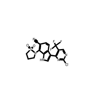 N#Cc1ccc2c(-c3nc(Cl)ncc3C(F)(F)F)c[nH]c2c1N1CCCS1(=O)=O